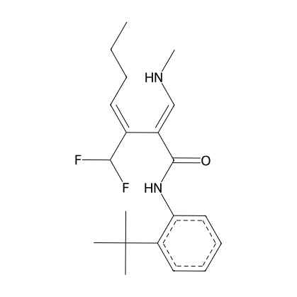 CCC/C=C(\C(=C/NC)C(=O)Nc1ccccc1C(C)(C)C)C(F)F